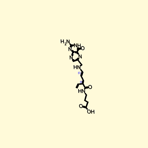 C=C/C(=C\C=C\NCc1cnc2nc(N)[nH]c(=O)c2n1)C(=O)NCCCC(=O)O